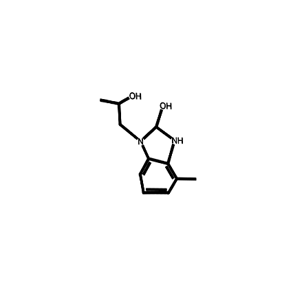 Cc1cccc2c1NC(O)N2CC(C)O